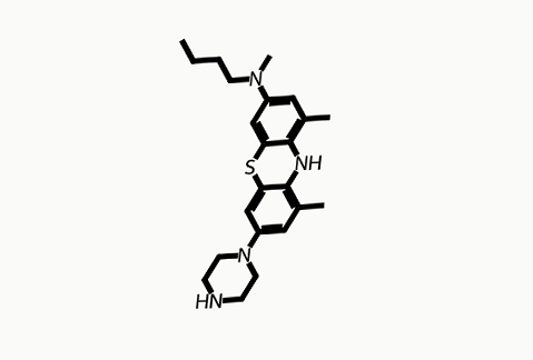 CCCCN(C)c1cc(C)c2c(c1)Sc1cc(N3CCNCC3)cc(C)c1N2